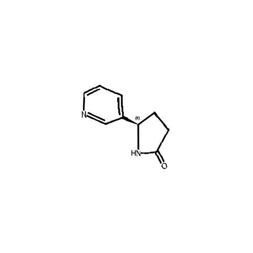 O=C1CC[C@H](c2cccnc2)N1